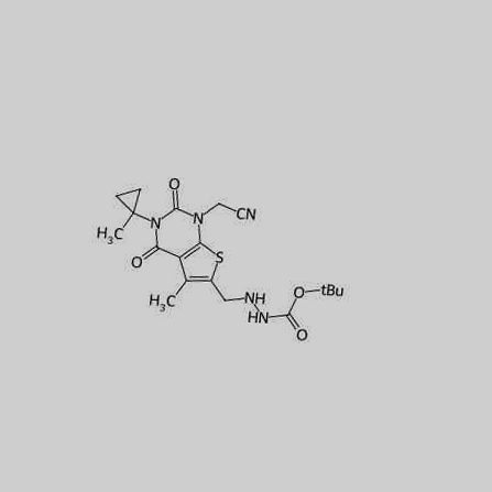 Cc1c(CNNC(=O)OC(C)(C)C)sc2c1c(=O)n(C1(C)CC1)c(=O)n2CC#N